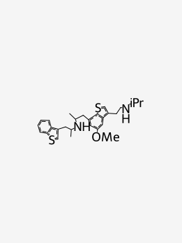 COc1cc(CC(C)NC(C)Cc2csc3ccccc23)c2scc(CCNC(C)C)c2c1